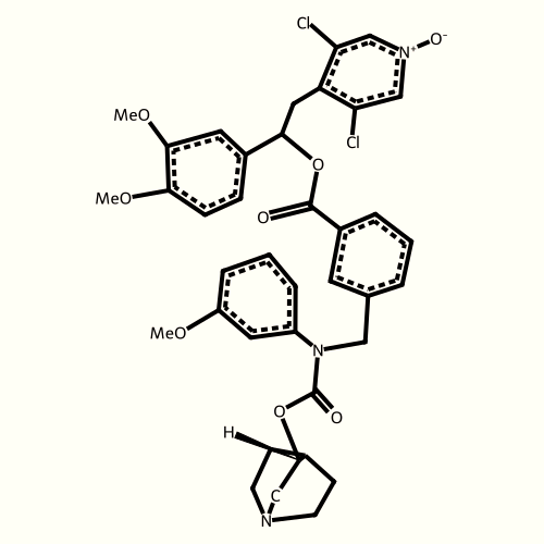 COc1cccc(N(Cc2cccc(C(=O)OC(Cc3c(Cl)c[n+]([O-])cc3Cl)c3ccc(OC)c(OC)c3)c2)C(=O)O[C@H]2CN3CCC2CC3)c1